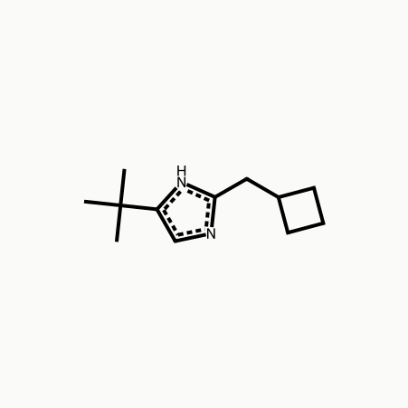 CC(C)(C)c1cnc(CC2CCC2)[nH]1